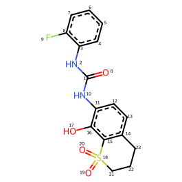 O=C(Nc1ccccc1F)Nc1ccc2c(c1O)S(=O)(=O)CCC2